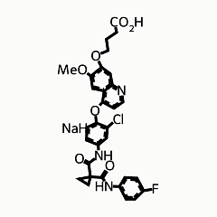 COc1cc2c(Oc3ccc(NC(=O)C4(C(=O)Nc5ccc(F)cc5)CC4)cc3Cl)ccnc2cc1OCCCC(=O)O.[NaH]